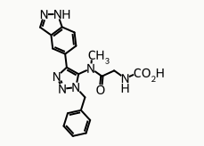 CN(C(=O)CNC(=O)O)c1c(-c2ccc3[nH]ncc3c2)nnn1Cc1ccccc1